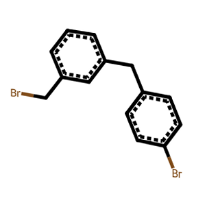 BrCc1cccc(Cc2ccc(Br)cc2)c1